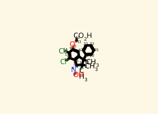 CC1(C)C(=NO)c2c(cc(OCC(=O)O)c(Cl)c2Cl)C1(C)c1ccccc1